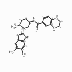 Cc1cc2nc([C@H]3CC(NC(=O)c4ccc5c(c4)OCCO5)CCN3C)[nH]c2cc1C